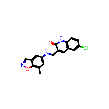 Cc1cc(NCc2cc3cc(Cl)ccc3[nH]c2=O)cc2cnoc12